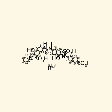 O=C(Nc1ccc2c(O)c(N=Nc3ccccc3)c(S(=O)(=O)O)cc2c1)Nc1ccc2c(O)c(N=Nc3ccc4cc(S(=O)(=O)O)ccc4c3)c(S(=O)(=O)O)cc2c1.[H-].[Na+]